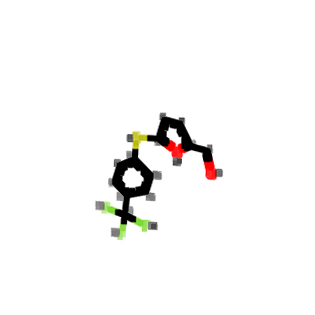 O=Cc1ccc(Sc2ccc(C(F)(F)F)cc2)o1